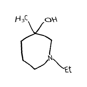 CCN1CCCC(C)(O)C1